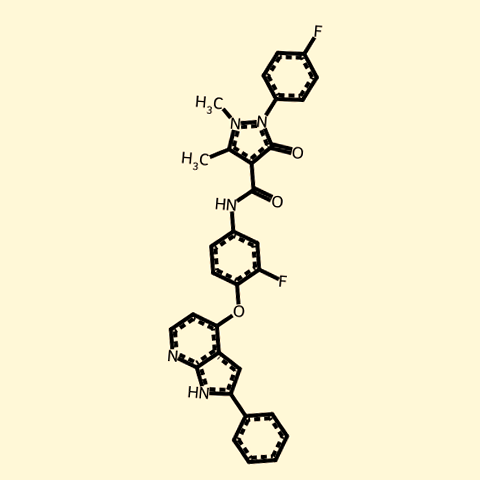 Cc1c(C(=O)Nc2ccc(Oc3ccnc4[nH]c(-c5ccccc5)cc34)c(F)c2)c(=O)n(-c2ccc(F)cc2)n1C